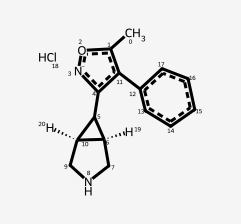 Cc1onc(C2[C@H]3CNC[C@@H]23)c1-c1ccccc1.Cl